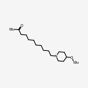 CC(C)(C)OC1CCN(CCCCCCCCCC(=O)C(C)(C)C)CC1